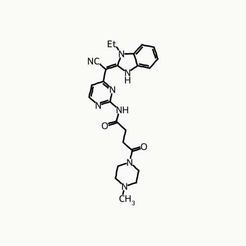 CCN1C(=C(C#N)c2ccnc(NC(=O)CCC(=O)N3CCN(C)CC3)n2)Nc2ccccc21